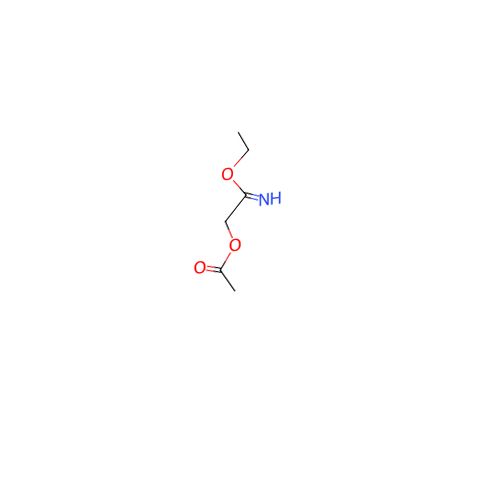 CCOC(=N)COC(C)=O